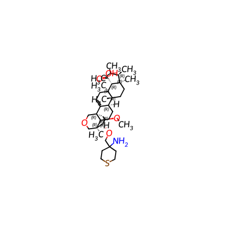 CO[C@@H]1C[C@@]23COC[C@@](C)([C@@H]2CC[C@H]2C3=CC[C@@]3(C)[C@H](C(=O)O)[C@@](C)([C@H](C)C(C)C)CC[C@]23C)[C@H]1OCC1(N)CCSCC1